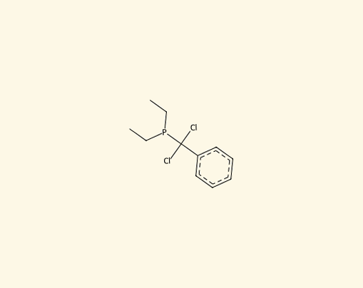 CCP(CC)C(Cl)(Cl)c1ccccc1